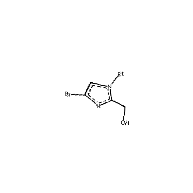 CCn1cc(Br)nc1CO